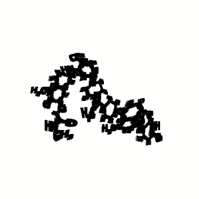 CNC(=O)COc1cc2cc(Nc3nc(N4CCN(C(C)C5CCN(c6cccc7c(C8CCC(=O)NC8=O)nn(C)c67)CC5)CC4)ncc3Cl)ccc2n(C)c1=O